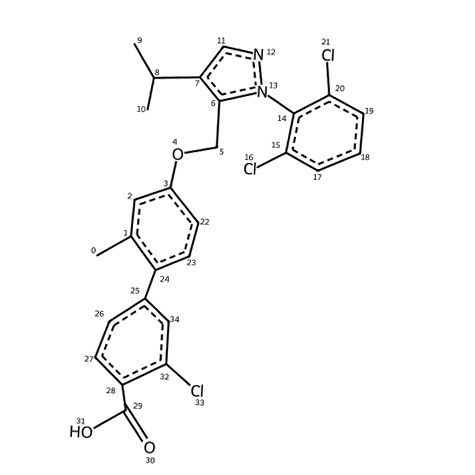 Cc1cc(OCc2c(C(C)C)cnn2-c2c(Cl)cccc2Cl)ccc1-c1ccc(C(=O)O)c(Cl)c1